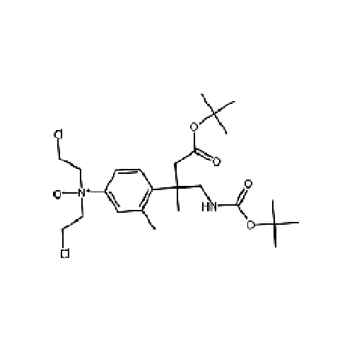 Cc1cc([N+]([O-])(CCCl)CCCl)ccc1C(C)(CNC(=O)OC(C)(C)C)CC(=O)OC(C)(C)C